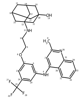 Cc1cc(Nc2cc(OCCNC34CC5CC(CC(O)(C5)C3)C4)cc(C(F)(F)F)c2)c2ccccc2n1